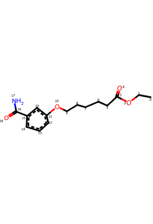 CCOC(=O)CCCCCOc1cccc(C(N)=O)c1